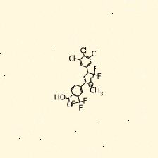 CO/C(=C\C(c1cc(Cl)c(Cl)c(Cl)c1)C(F)(F)F)c1ccc(C(=O)O)c(C(F)(F)F)c1